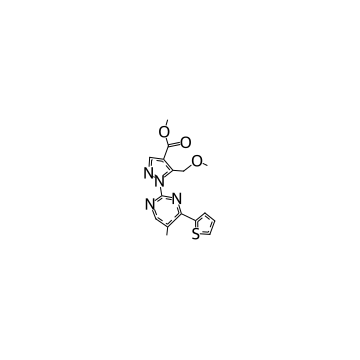 COCc1c(C(=O)OC)cnn1-c1ncc(C)c(-c2cccs2)n1